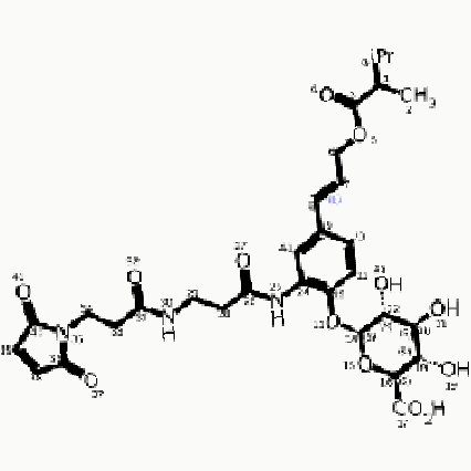 CC(C)C(C)C(=O)OC/C=C/c1ccc(O[C@@H]2O[C@H](C(=O)O)[C@@H](O)[C@H](O)[C@H]2O)c(NC(=O)CCNC(=O)CCN2C(=O)C=CC2=O)c1